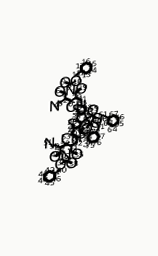 CC1=C(C#N)C(=O)N(C(=O)OCc2ccccc2)C(=O)/C1=C/c1cc2c(s1)-c1sc3cc(/C=C4/C(=O)N(C(=O)OCc5ccccc5)C(=O)C(C#N)=C4C)sc3c1C2(C(=O)OCc1ccccc1)C(=O)OCc1ccccc1